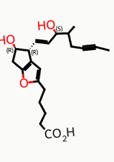 CC#CCC(C)[C@H](O)C=C[C@@H]1c2cc(CCCCC(=O)O)oc2C[C@H]1O